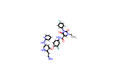 CCn1cc(C(=O)Nc2ccc(OC3=CC(Nc4ccccn4)=CN/C3=C\C=N)c(F)c2)c(=O)n(-c2ccc(F)cc2)c1=O